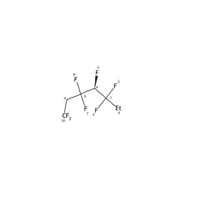 [CH2]CC(F)(F)[C@H](F)C(F)(F)CC(F)(F)F